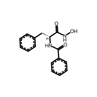 O=C(N[C@H](Cc1ccccc1)C(=O)NO)c1ccccc1